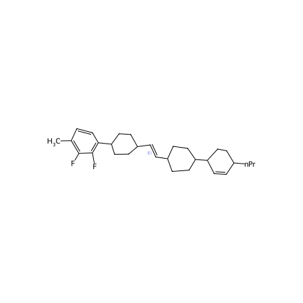 CCCC1C=CC(C2CCC(/C=C/C3CCC(c4ccc(C)c(F)c4F)CC3)CC2)CC1